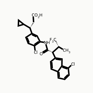 C[C@H]([C@@H](C(=O)Nc1cc([C@@H](CC(=O)O)C2CC2)ccc1Cl)c1ccc2cccc(Cl)c2c1)C(F)(F)F